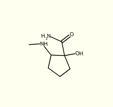 CNC1CCCC1(O)C(N)=O